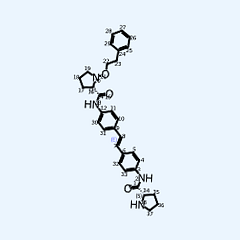 O=C(Nc1ccc(/C=C/c2ccc(NC(=O)[C@@H]3CCCN3OCCc3ccccc3)cc2)cc1)[C@@H]1CCCN1